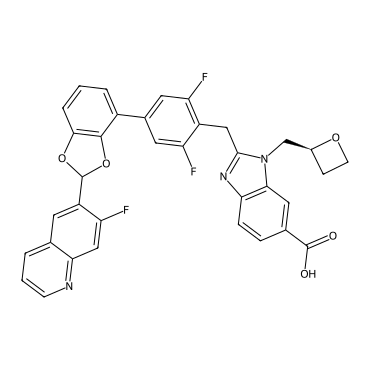 O=C(O)c1ccc2nc(Cc3c(F)cc(-c4cccc5c4OC(c4cc6cccnc6cc4F)O5)cc3F)n(C[C@@H]3CCO3)c2c1